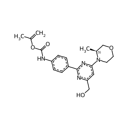 C=C(C)OC(=O)Nc1ccc(-c2nc(CO)cc(N3CCOC[C@@H]3C)n2)cc1